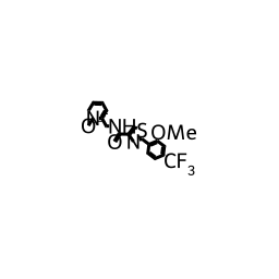 COc1cc(C(F)(F)F)ccc1-c1nc(C(=O)NCc2cccc[n+]2[O-])cs1